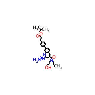 CCCN(CCCO)C(=O)C1=Cc2ccc(-c3ccc(CCC(=O)OCC(C)C)cc3)cc2N=C(N=NN)C1